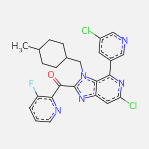 CC1CCC(Cn2c(C(=O)c3ncccc3F)nc3cc(Cl)nc(-c4cncc(Cl)c4)c32)CC1